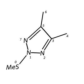 CSn1nc(C)c(C)n1